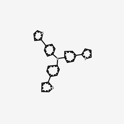 c1csc(-c2ccc(N(c3ccc(-c4cccs4)cc3)c3ccc(-c4cccs4)cc3)cc2)c1